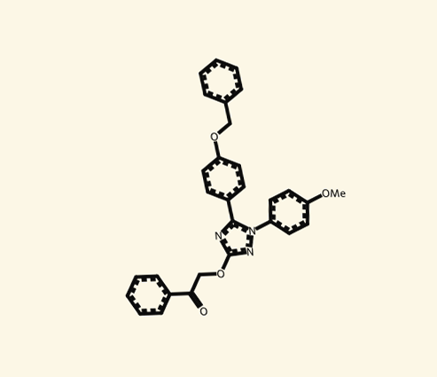 COc1ccc(-n2nc(OCC(=O)c3ccccc3)nc2-c2ccc(OCc3ccccc3)cc2)cc1